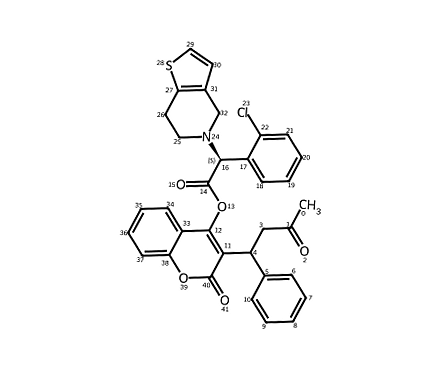 CC(=O)CC(c1ccccc1)c1c(OC(=O)[C@H](c2ccccc2Cl)N2CCc3sccc3C2)c2ccccc2oc1=O